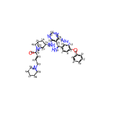 N=C(c1ccc(Oc2ccccc2)cc1)c1c(N)ncnc1NC1CC2CC1N(C(=O)/C=C/CN1CCCCC1)C2